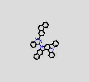 c1ccc2cc3c(cc2c1)c1c2c4ccccc4n4c5ccccc5c(cc1n3-c1nc(-c3ccc5c(ccc6ccccc65)c3)nc3ccccc13)c24